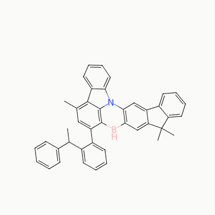 Cc1cc(-c2ccccc2C(C)c2ccccc2)c2c3c1c1ccccc1n3-c1cc3c(cc1B2)C(C)(C)c1ccccc1-3